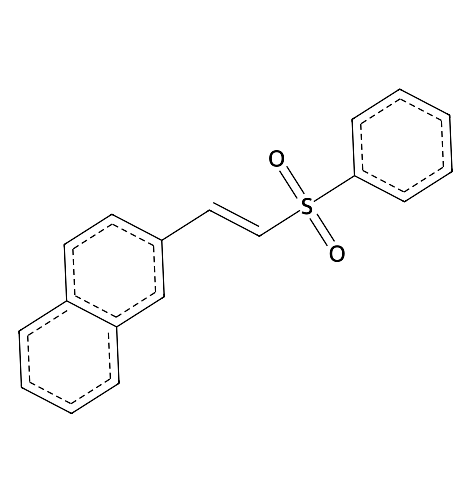 O=S(=O)(C=Cc1ccc2ccccc2c1)c1ccccc1